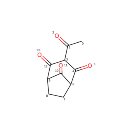 CC(=O)C1C(=O)C2CCC(C2=O)C1=O